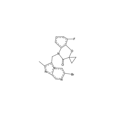 Cc1nc2cnc(Br)cn2c1CN1C(=O)C2(CC2)Oc2c(F)cccc21